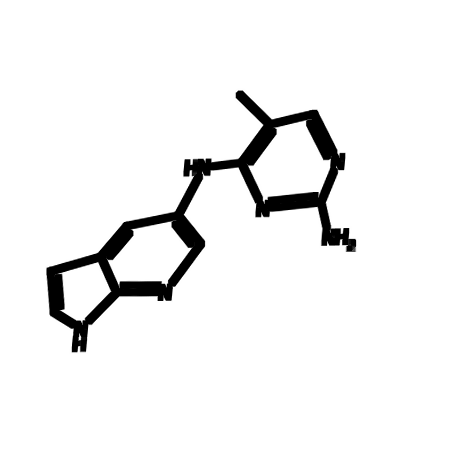 Cc1cnc(N)nc1Nc1cnc2[nH]ccc2c1